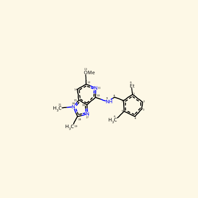 CCc1cccc(C)c1CNc1nc(OC)cc2c1nc(C)n2C